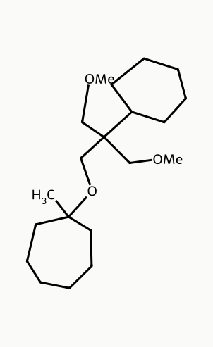 COCC(COC)(COC1(C)CCCCCC1)C1CCCCC1